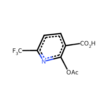 CC(=O)Oc1nc(C(F)(F)F)ccc1C(=O)O